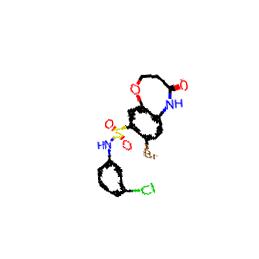 O=C1CCOc2cc(S(=O)(=O)Nc3cccc(Cl)c3)c(Br)cc2N1